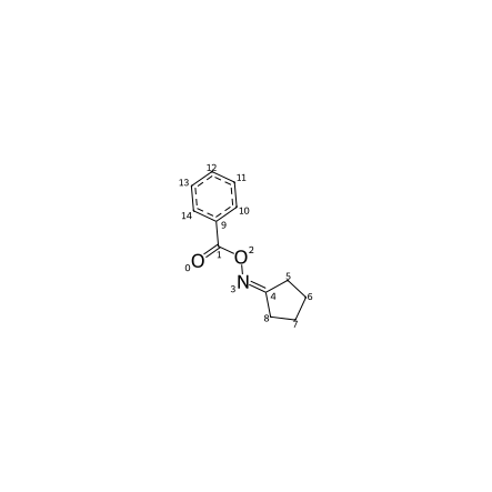 O=C(ON=C1CCCC1)c1ccccc1